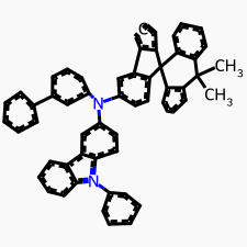 CC1(C)c2ccccc2C2(c3ccccc3-c3cc(N(c4cccc(-c5ccccc5)c4)c4ccc5c(c4)c4ccccc4n5-c4ccccc4)ccc32)c2ccccc21